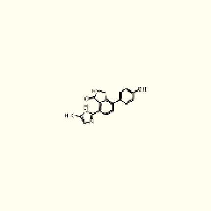 Cc1cnc(-c2ccc(-c3ccc(O)cc3)c3c2C(=O)NC3)[nH]1